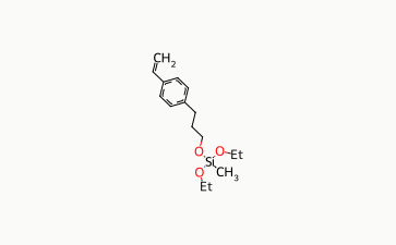 C=Cc1ccc(CCCO[Si](C)(OCC)OCC)cc1